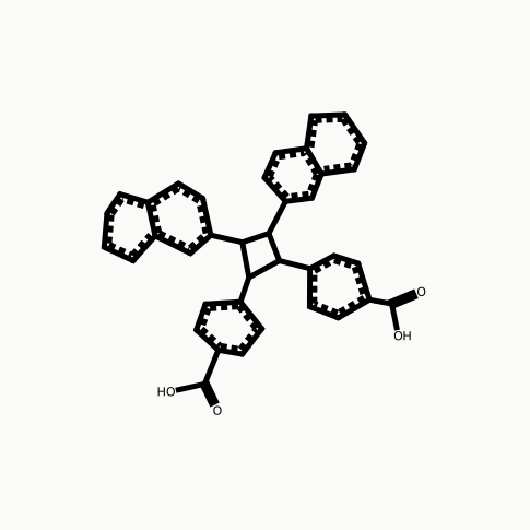 O=C(O)c1ccc(C2C(c3ccc(C(=O)O)cc3)C(c3ccc4ccccc4c3)C2c2ccc3ccccc3c2)cc1